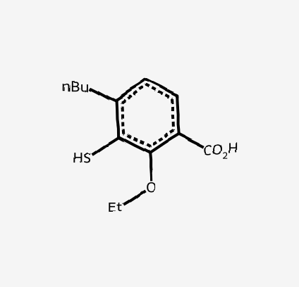 CCCCc1ccc(C(=O)O)c(OCC)c1S